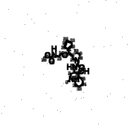 CNC[C@@H](NC(=O)N1CCC[C@@H]([C@@H](OCCNC(=O)OC)c2ccccc2)C1)[C@@H](O)C1CCCCC1